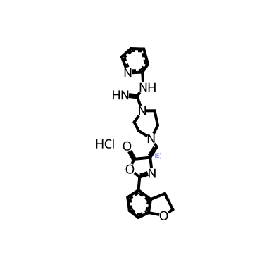 Cl.N=C(Nc1ccccn1)N1CCN(/C=C2/N=C(c3cccc4c3CCO4)OC2=O)CC1